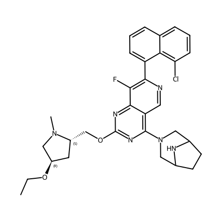 CCO[C@@H]1C[C@@H](COc2nc(N3CC4CCC(C3)N4)c3cnc(-c4cccc5cccc(Cl)c45)c(F)c3n2)N(C)C1